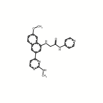 CNc1nccc(-c2cc(NCC(=O)Nc3ccncc3)c3cc(OC)ccc3c2)n1